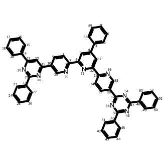 c1ccc(-c2cc(-c3ccc(-c4cc(-c5ccccc5)nc(-c5ccccc5)n4)cn3)nc(-c3ccc(-c4nc(-c5ccccc5)nc(-c5ccccc5)n4)cn3)c2)cc1